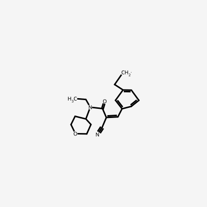 [CH2]Cc1cccc(C=C(C#N)C(=O)N(CC)C2CCOCC2)c1